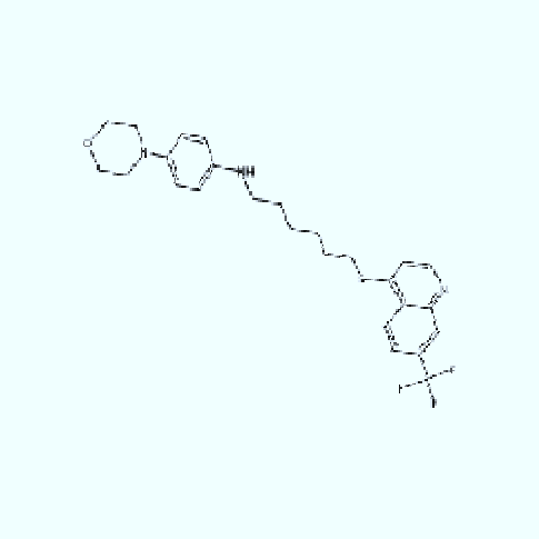 FC(F)(F)c1ccc2c(SCCCCCCNc3ccc(N4CCOCC4)cc3)ccnc2c1